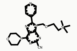 C[Si](C)(C)CCOCn1c(-c2ccncc2)nc2c(N3CCOCC3)nc(C#N)nc21